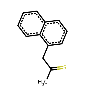 CC(=S)Cc1cccc2ccccc12